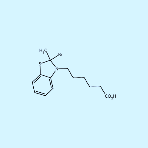 CC1(Br)Sc2ccccc2N1CCCCCC(=O)O